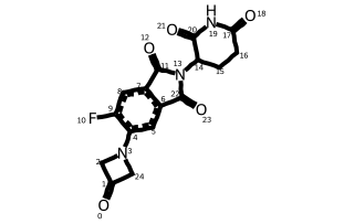 O=C1CN(c2cc3c(cc2F)C(=O)N(C2CCC(=O)NC2=O)C3=O)C1